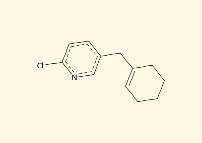 Clc1ccc(CC2=CCCCC2)cn1